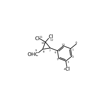 Cc1cc(Cl)cc(C2C(C=O)C2(Cl)Cl)c1